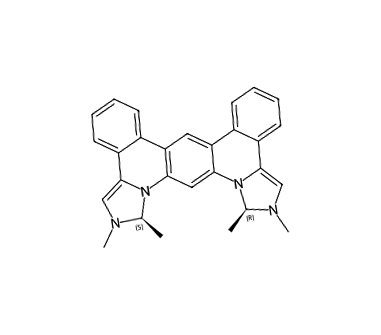 C[C@@H]1N(C)C=C2c3ccccc3-c3cc4c(cc3N21)N1C(=CN(C)[C@@H]1C)c1ccccc1-4